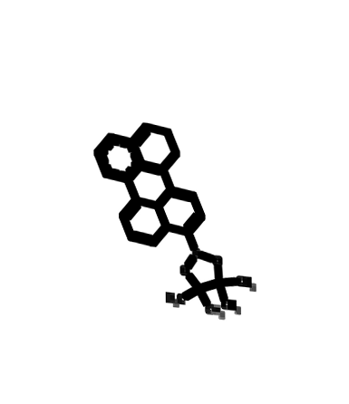 CC1(C)OB(C2=CC=C3C4=c5c(cccc5=CCC4)C4=CC=CC2C34)OC1(C)C